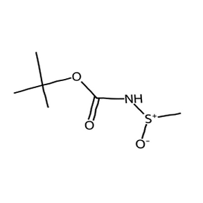 C[S+]([O-])NC(=O)OC(C)(C)C